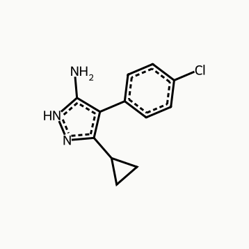 Nc1[nH]nc(C2CC2)c1-c1ccc(Cl)cc1